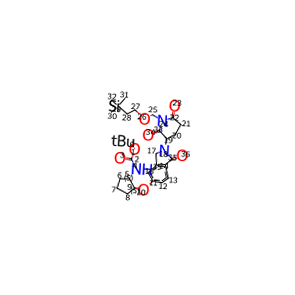 CC(C)(C)OC(=O)N[C@H]1CCC[C@@H]1Oc1ccc2c(c1)CN(C1CCC(=O)N(COCC[Si](C)(C)C)C1=O)C2=O